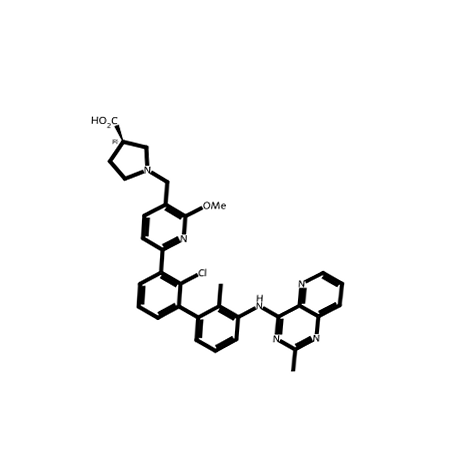 COc1nc(-c2cccc(-c3cccc(Nc4nc(C)nc5cccnc45)c3C)c2Cl)ccc1CN1CC[C@@H](C(=O)O)C1